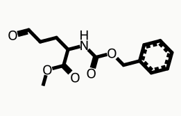 COC(=O)C(CCC=O)NC(=O)OCc1ccccc1